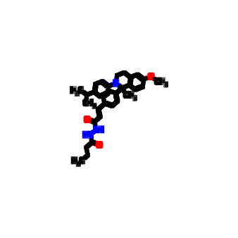 CCCC(=O)NNC(=O)C=Cc1ccc(C2(C)c3ccc(OC)cc3CCN2c2ccc(C(C)C)cc2)cc1